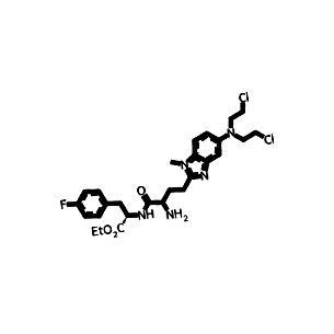 CCOC(=O)[C@H](Cc1ccc(F)cc1)NC(=O)C(N)CCc1nc2cc(N(CCCl)CCCl)ccc2n1C